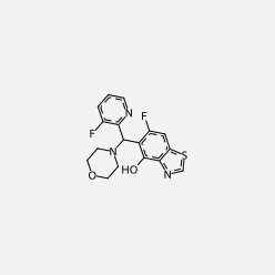 Oc1c(C(c2ncccc2F)N2CCOCC2)c(F)cc2scnc12